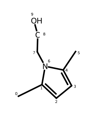 Cc1ccc(C)n1CCO